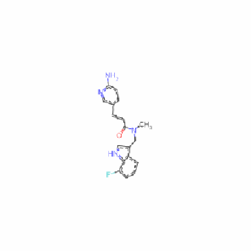 CN(Cc1c[nH]c2c(F)cccc12)C(=O)/C=C/c1ccc(N)nc1